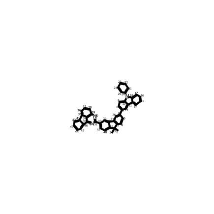 CC1(C)c2ccc(-c3ccc4c(c3)c3ccccc3n4-c3ccccc3)cc2-c2cc(-c3nc4c5c(cccc5n3)-c3ccccc3-4)ccc21